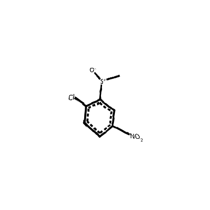 C[S+]([O-])c1cc([N+](=O)[O-])ccc1Cl